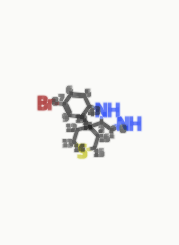 N=CC1NC2C=CC(Br)=CC2C12CCSCC2